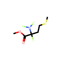 COC(=O)C(F)(CCSC)N(F)F